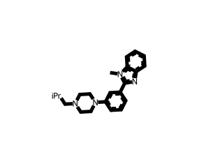 CC(C)CN1CCN(c2cccc(-c3nc4ccccc4n3C)c2)CC1